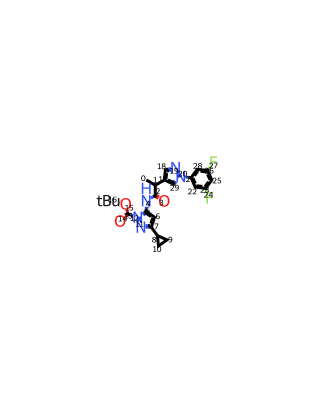 CC(C(=O)Nc1cc(C2CC2)nn1C(=O)OC(C)(C)C)c1cnn(-c2cc(F)cc(F)c2)c1